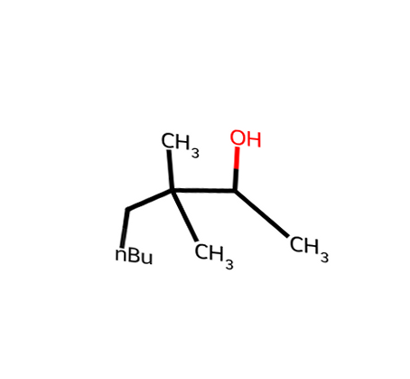 [CH2]CCCCC(C)(C)C(C)O